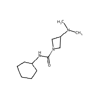 CN(C)C1CN(C(=O)NC2CCCCC2)C1